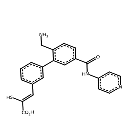 NCc1ccc(C(=O)Nc2ccncc2)cc1-c1cccc(C=C(S)C(=O)O)c1